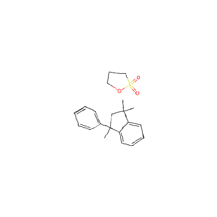 CC1(C)CC(C)(c2ccccc2)c2ccccc21.O=S1(=O)CCCO1